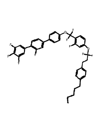 CCCCCc1ccc(CCC(F)(F)Oc2ccc(C(F)(F)Oc3ccc(-c4ccc(-c5cc(F)c(F)c(F)c5)c(F)c4)cc3)c(F)c2)cc1